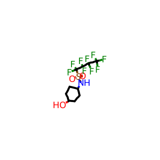 O=S(=O)(NC1CCC(O)CC1)C(F)(F)C(F)(F)C(F)(F)C(F)(F)F